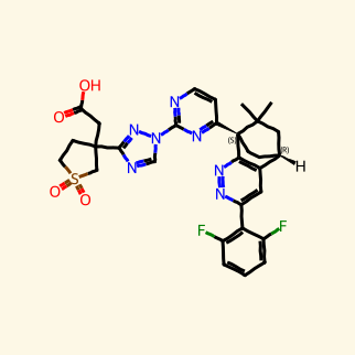 CC1(C)C[C@H]2CC[C@]1(c1ccnc(-n3cnc(C4(CC(=O)O)CCS(=O)(=O)C4)n3)n1)c1nnc(-c3c(F)cccc3F)cc12